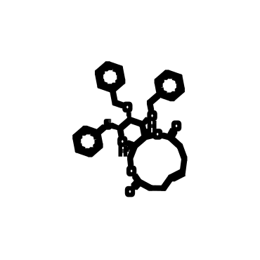 O=C1CC/C=C/CCC(=O)O[C@H]2[C@H](OCc3ccccc3)[C@@H](OCc3ccccc3)[C@H](Sc3ccccc3)O[C@@H]2CO1